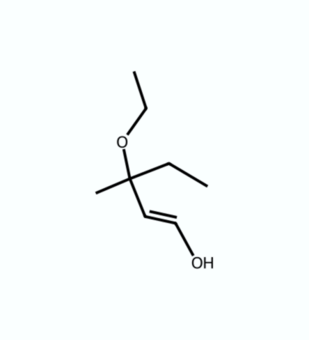 CCOC(C)(C=CO)CC